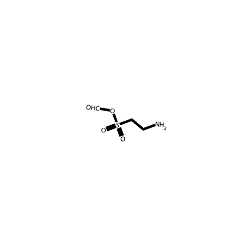 NCCS(=O)(=O)OC=O